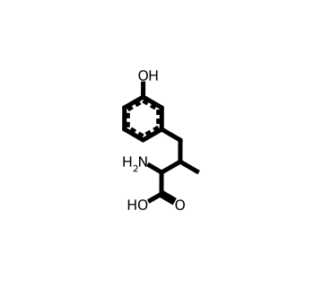 CC(Cc1cccc(O)c1)C(N)C(=O)O